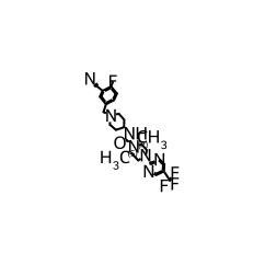 C[C@@H]1CN(c2ncc(C(F)(F)F)cn2)C[C@H](C)N1C(=O)NC1CCN(Cc2ccc(F)c(C#N)c2)CC1